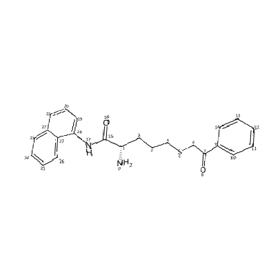 N[C@@H](CCCSCC(=O)c1ccccc1)C(=O)Nc1cccc2ccccc12